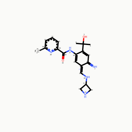 CC(C)(O)C1=CC(=N)/C(=C\NC2CNC2)C=C1NC(=O)c1cccc(C(F)(F)F)n1